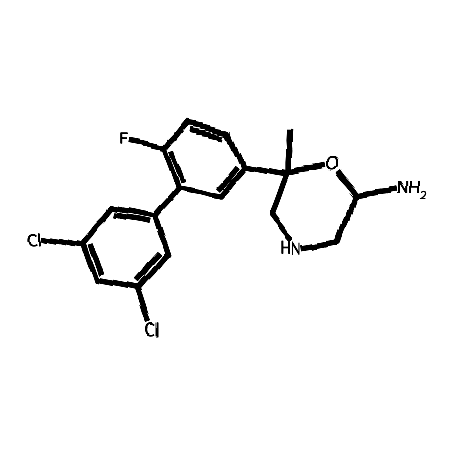 CC1(c2ccc(F)c(-c3cc(Cl)cc(Cl)c3)c2)CNCC(N)O1